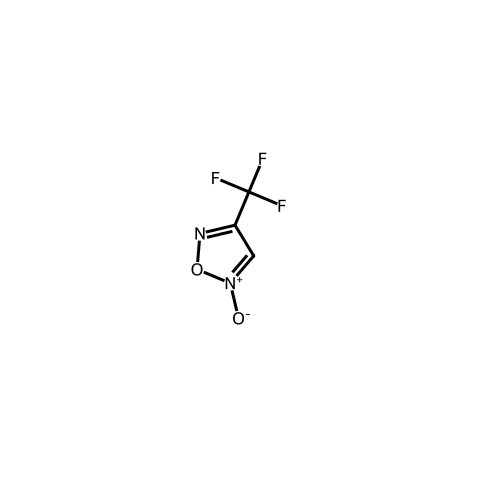 [O-][n+]1cc(C(F)(F)F)no1